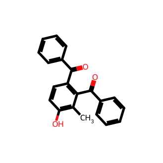 Cc1c(O)ccc(C(=O)c2ccccc2)c1C(=O)c1ccccc1